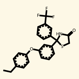 CCc1ccc(Oc2cccc(C3(c4cccc(C(F)(F)F)c4)NC(=O)CS3)c2)cc1